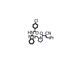 CC(C)/C=C(\C#N)C(=O)N1CCCC1Cn1c(NC(=O)c2ccc(Cl)cc2)nc2ccccc21